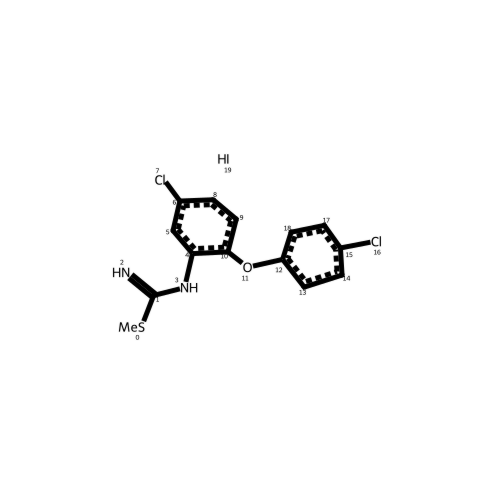 CSC(=N)Nc1cc(Cl)ccc1Oc1ccc(Cl)cc1.I